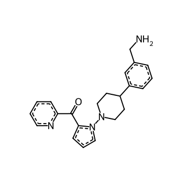 NCc1cccc(C2CCN(n3cccc3C(=O)c3ccccn3)CC2)c1